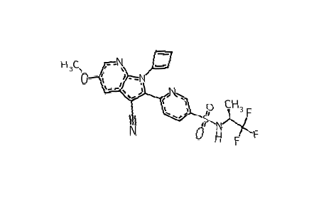 COc1cnc2c(c1)c(C#N)c(-c1ccc(S(=O)(=O)N[C@@H](C)C(F)(F)F)cn1)n2C1=CC=C1